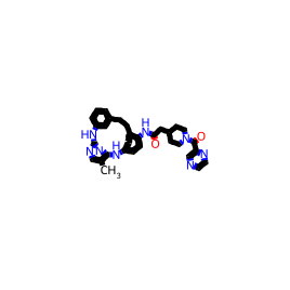 Cc1cnc2nc1Nc1ccc(NC(=O)CC3CCN(C(=O)c4cnccn4)CC3)c(c1)CCc1cccc(c1)N2